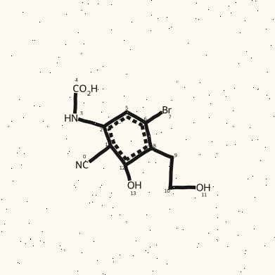 N#Cc1c(NC(=O)O)cc(Br)c(CCO)c1O